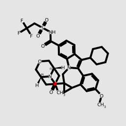 COc1ccc2c(c1)C1CC1(C(=O)N1[C@@H]3COC[C@H]1CN(C)C3)Cn1c-2c(C2CCCCC2)c2ccc(C(=O)NS(=O)(=O)CC(F)(F)F)cc21